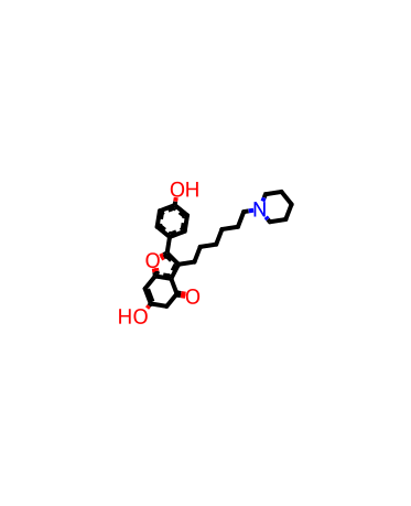 O=C1CC(O)=Cc2oc(-c3ccc(O)cc3)c(CCCCCCN3CCCCC3)c21